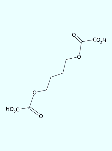 O=C(O)C(=O)OCCCCOC(=O)C(=O)O